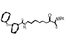 CNC(=O)C(=O)CCCCCCNC(=O)c1cccc(Oc2ccccc2)c1